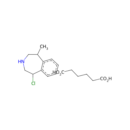 CC1CNCC(Cl)c2ccccc21.O=C(O)CCCCC(=O)O